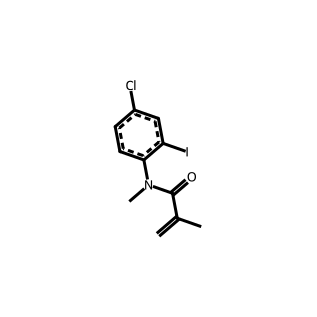 C=C(C)C(=O)N(C)c1ccc(Cl)cc1I